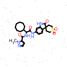 Cn1nccc1C(=O)NC(C(=O)Nc1ccc2c(c1)NC(=O)C21CCS(=O)(=O)CC1)C1CCCCCCC1